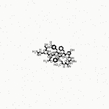 CCC[C@H](NC(=O)[C@@H](NC(=O)[C@@H]1C[C@@H](O)CN1C(=O)[C@H](CC1CCCCC1)NC(=O)[C@H](Cc1ccccc1)NC(=O)[C@H](Cc1ccc(O)cc1)NC(=O)[C@H](CCC(N)=O)NC(=O)[C@H](CCCNC(=N)N)NC(=O)[C@@H](N)CS)[C@@H](C)CC)C(=O)N[C@@H](CS)C(=O)O